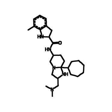 Cc1cccc2c1NC(C(=O)NC1CCC3(C4CCCCCC4)NC(CN(C)C)CN3C1)C2